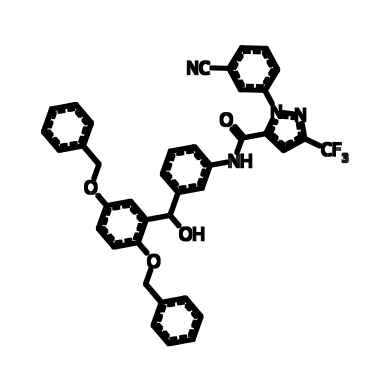 N#Cc1cccc(-n2nc(C(F)(F)F)cc2C(=O)Nc2cccc(C(O)c3cc(OCc4ccccc4)ccc3OCc3ccccc3)c2)c1